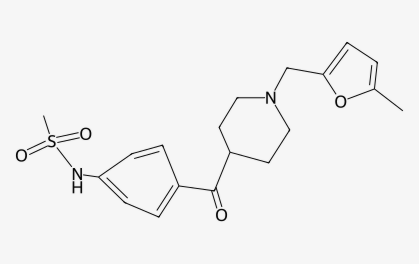 Cc1ccc(CN2CCC(C(=O)c3ccc(NS(C)(=O)=O)cc3)CC2)o1